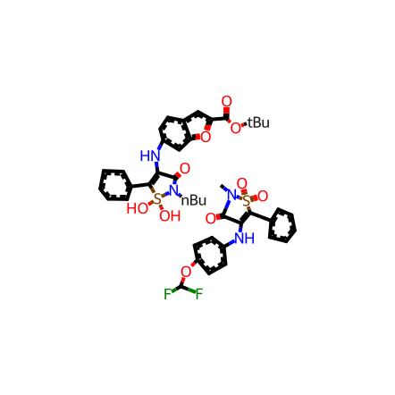 CCCCN1C(=O)C(Nc2ccc3cc(C(=O)OC(C)(C)C)oc3c2)=C(c2ccccc2)S1(O)O.CN1C(=O)C(Nc2ccc(OC(F)F)cc2)=C(c2ccccc2)S1(=O)=O